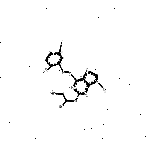 CCC(CO)Nc1nc(NCc2cc(I)ccc2O)c2ncn(CC)c2n1